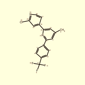 Cc1cc(-c2ccc(C(F)(F)F)cc2)nc(-c2ccnc(Cl)c2)c1